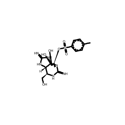 Cc1ccc(S(=O)(=O)O[C@H]2CN3C(=N)N[C@@H](CO)[C@@H]4NC(=N)NC43C2(O)O)cc1